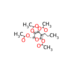 CCC[C@H]1[C@H](OC(C)=O)O[C@H](COC(C)=O)[C@@H](OC(C)=O)[C@@H]1OC(C)=O